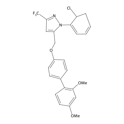 COc1ccc(-c2ccc(OCc3cc(C(F)(F)F)nn3C3=CC=CCC3Cl)cc2)c(OC)c1